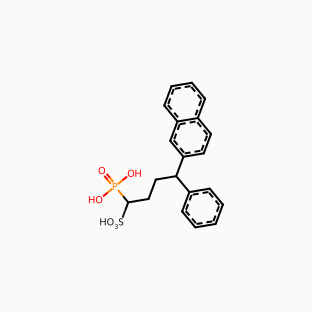 O=P(O)(O)C(CCC(c1ccccc1)c1ccc2ccccc2c1)S(=O)(=O)O